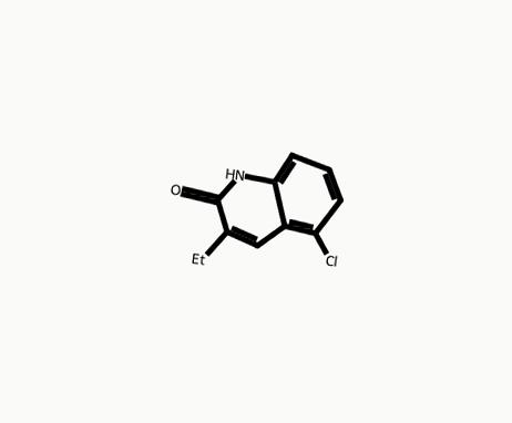 CCc1cc2c(Cl)cccc2[nH]c1=O